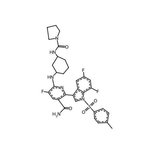 Cc1ccc(S(=O)(=O)n2cc(-c3nc(NC4CCCC(NC(=O)N5CCCC5)C4)c(F)cc3C(N)=O)c3cc(F)cc(F)c32)cc1